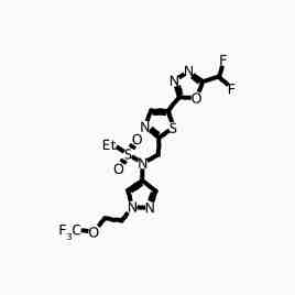 CCS(=O)(=O)N(Cc1ncc(-c2nnc(C(F)F)o2)s1)c1cnn(CCOC(F)(F)F)c1